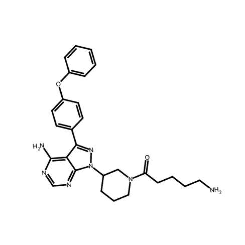 NCCCCC(=O)N1CCCC(n2nc(-c3ccc(Oc4ccccc4)cc3)c3c(N)ncnc32)C1